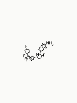 Cc1cn2nc(N)nc2cc1-c1nc(-c2cnn([C@H](c3ccc(F)cc3)C(C)(F)F)c2)ccc1F